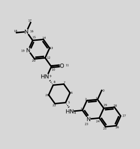 Cc1cc(N[C@H]2CC[C@@H](NC(=O)c3ccc(N(C)C)nc3)CC2)nc2ccccc12